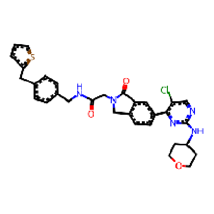 O=C(CN1Cc2ccc(-c3nc(NC4CCOCC4)ncc3Cl)cc2C1=O)NCc1ccc(Cc2cccs2)cc1